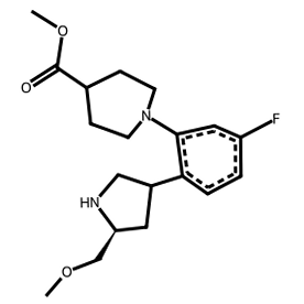 COC[C@@H]1CC(c2ccc(F)cc2N2CCC(C(=O)OC)CC2)CN1